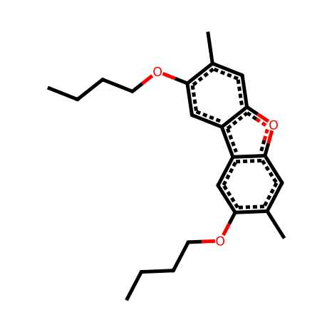 CCCCOc1cc2c(cc1C)oc1cc(C)c(OCCCC)cc12